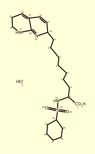 Cl.O=C(O)C(CCCCCCCC1C=CC2=CCCNC2=N1)NS(=O)(=O)C1CCCCC1